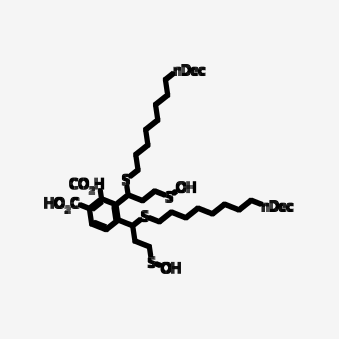 CCCCCCCCCCCCCCCCCCSC(CCSO)c1ccc(C(=O)O)c(C(=O)O)c1C(CCSO)SCCCCCCCCCCCCCCCCCC